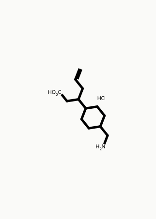 C=CCC(CC(=O)O)C1CCC(CN)CC1.Cl